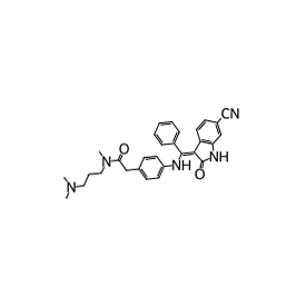 CN(C)CCCN(C)C(=O)Cc1ccc(N/C(=C2\C(=O)Nc3cc(C#N)ccc32)c2ccccc2)cc1